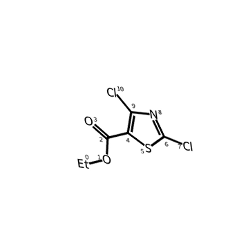 CCOC(=O)c1sc(Cl)nc1Cl